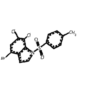 Cc1ccc(S(=O)(=O)n2ccc3c(Br)cc(Cl)c(Cl)c32)cc1